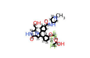 CN1CCC(NC(=O)c2ccc(-c3c(-c4cccc(OC(F)(F)F)c4)cc4n3C(CCO)CNC4=O)cc2)CC1.O=C(O)C(F)(F)F